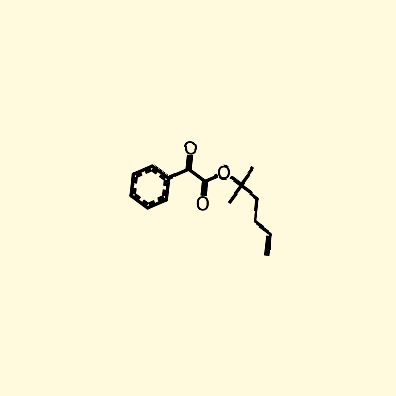 C=CCCC(C)(C)OC(=O)C(=O)c1ccccc1